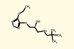 CCOc1nsnc1OC[C@@H](O)CNCC(C)(C)C